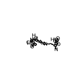 COc1cc(N2CCC(N3CCN(CCCCC#Cc4cc(C#N)cc5c4CN(C4CCC(=O)NC4=O)C5=O)CC3)CC2)ccc1Nc1ncc(Cl)c(Nc2ccccc2P(C)(C)=O)n1